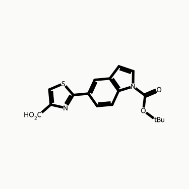 CC(C)(C)OC(=O)n1ccc2cc(-c3nc(C(=O)O)cs3)ccc21